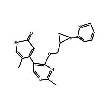 Cc1ncc(-c2cc(=O)[nH]cc2C)c(OCC2C[C@H]2c2ccccn2)n1